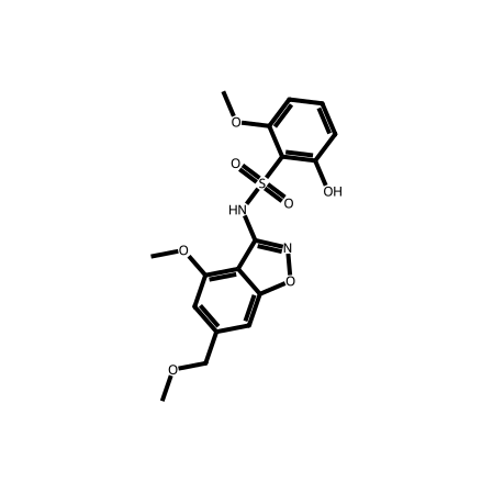 COCc1cc(OC)c2c(NS(=O)(=O)c3c(O)cccc3OC)noc2c1